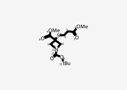 COC(=O)CCSC1(C(=O)OC)CN(C(=O)OC(C)(C)C)C1